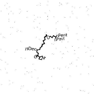 C=C(CCCCCCCCC(CCCCCCCCCC)CCC(=O)C1CCN(C)C1)OCCCC(CCCCC)CCCCC